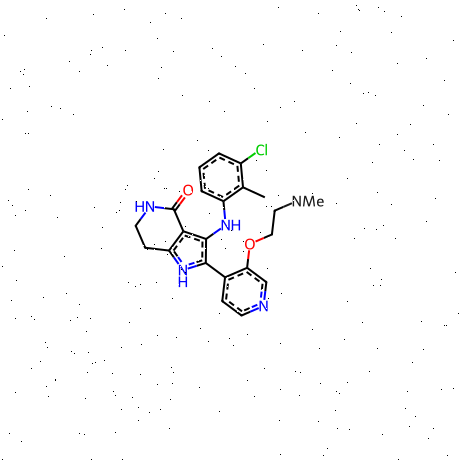 CNCCOc1cnccc1-c1[nH]c2c(c1Nc1cccc(Cl)c1C)C(=O)NCC2